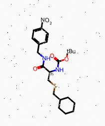 CC(C)(C)OC(=O)N[C@@H](CSCC1CCCCC1)C(=O)NCc1ccc([N+](=O)[O-])cc1